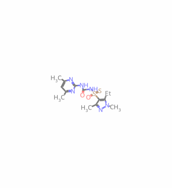 CCc1c(S(=O)(=S)NC(=O)Nc2nc(C)cc(C)n2)c(C)nn1C